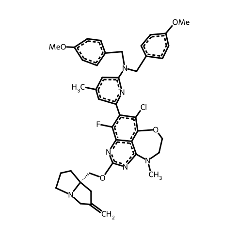 C=C1CN2CCC[C@@]2(COc2nc3c4c(c(Cl)c(-c5cc(C)cc(N(Cc6ccc(OC)cc6)Cc6ccc(OC)cc6)n5)c(F)c4n2)OCCN3C)C1